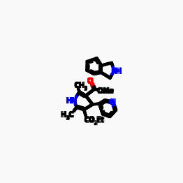 CCOC(=O)C1=C(C)NC(C)=C(C(=O)OC)C1c1cccnc1.c1ccc2c(c1)CNC2